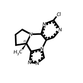 C[C@@]12CCCN1c1nc(Cl)ncc1-n1cnnc12